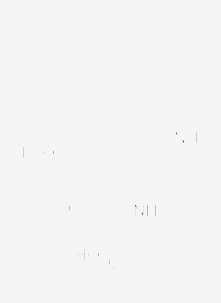 CC(=O)NC(=Cc1c[nH]c2cc(C)ccc12)C(=O)O.O